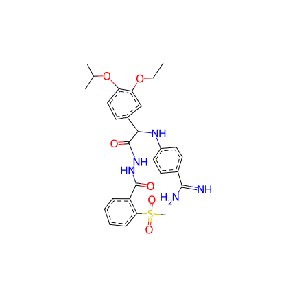 CCOc1cc(C(Nc2ccc(C(=N)N)cc2)C(=O)NNC(=O)c2ccccc2S(C)(=O)=O)ccc1OC(C)C